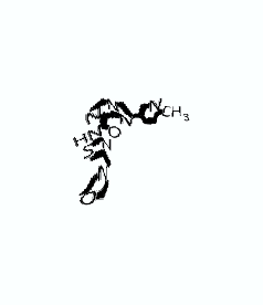 Cc1ccc(-c2cn3ccnc(C(=O)Nc4nc(CN5CCOCC5)cs4)c3n2)cn1